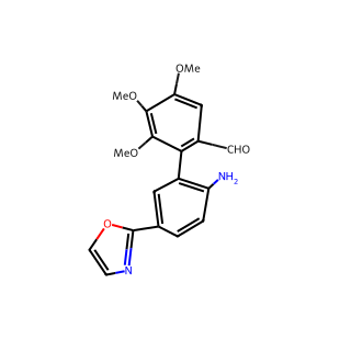 COc1cc(C=O)c(-c2cc(-c3ncco3)ccc2N)c(OC)c1OC